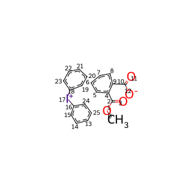 COC(=O)c1ccccc1C(=O)[O-].c1ccc([I+]c2ccccc2)cc1